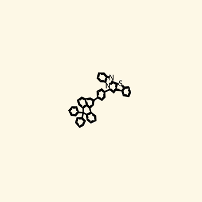 c1ccc(C2(c3ccccc3)c3ccccc3-c3cc(-c4ccc(-c5cc6c7ccccc7sc6c6nc7ccccc7n56)cc4)cc4cccc2c34)cc1